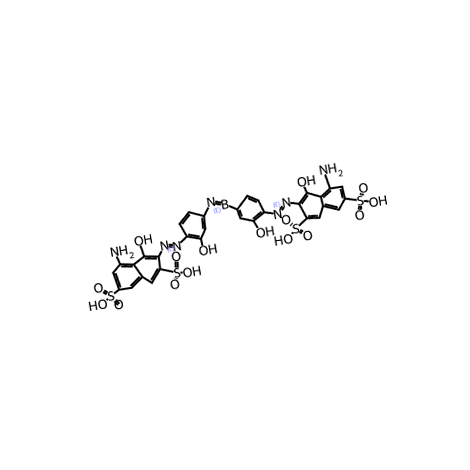 Nc1cc(S(=O)(=O)O)cc2cc(S(=O)(=O)O)c(/N=N/c3ccc(/B=N/c4ccc(/N=N/c5c(S(=O)(=O)O)cc6cc(S(=O)(=O)O)cc(N)c6c5O)c(O)c4)cc3O)c(O)c12